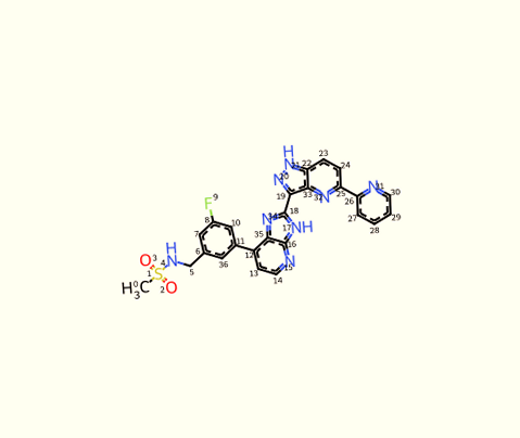 CS(=O)(=O)NCc1cc(F)cc(-c2ccnc3[nH]c(-c4n[nH]c5ccc(-c6ccccn6)nc45)nc23)c1